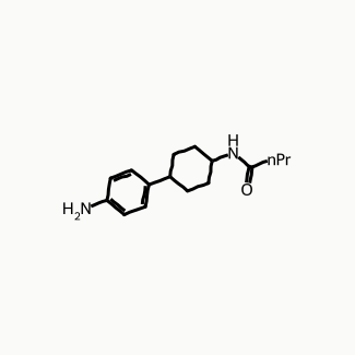 CCCC(=O)NC1CCC(c2ccc(N)cc2)CC1